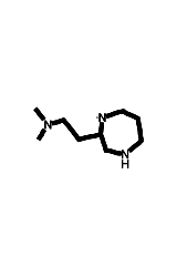 CN(C)CCC1CNCCC[N]1